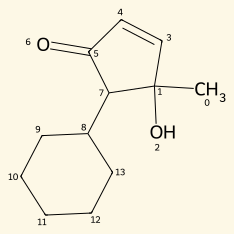 CC1(O)C=CC(=O)C1C1CCCCC1